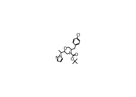 CC(C1CN(C(=O)OC(C)(C)C)C(Cc2ccc(Cl)cc2)CO1)n1cccn1